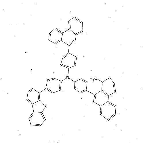 CC1CC=Cc2c1c(-c1ccc(N(c3ccc(-c4cc5ccccc5c5ccccc45)cc3)c3ccc(-c4cccc5c4sc4ccccc45)cc3)cc1)cc1ccccc21